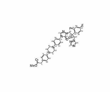 COC(=O)Cc1ccc(N2CCN(c3ccc(-n4cnn(CC(O)(Cn5cncn5)c5ccc(F)cc5F)c4=O)cc3)CC2)cc1